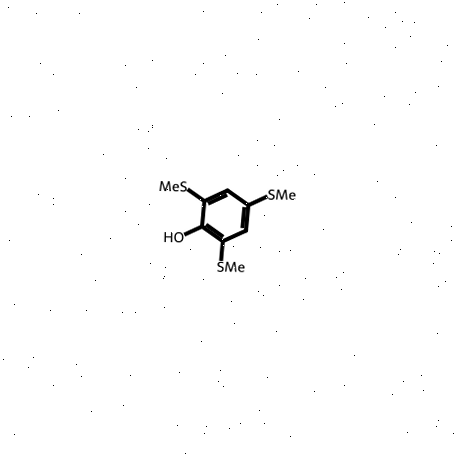 CSc1cc(SC)c(O)c(SC)c1